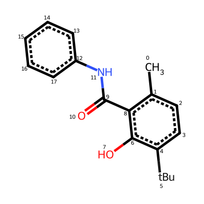 Cc1ccc(C(C)(C)C)c(O)c1C(=O)Nc1ccccc1